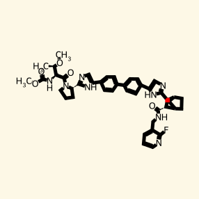 COC(=O)N[C@H](C(=O)N1CCC[C@H]1c1ncc(-c2ccc(-c3ccc(-c4cnc(C5C6CCC(C6)[C@@H]5C(=O)NCc5cccnc5F)[nH]4)cc3)cc2)[nH]1)[C@@H](C)OC